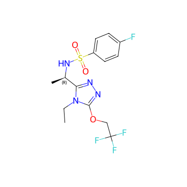 CCn1c(OCC(F)(F)F)nnc1[C@@H](C)NS(=O)(=O)c1ccc(F)cc1